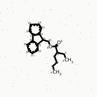 CCCCC(CC)C(=O)OCC1c2ccccc2-c2ccccc21